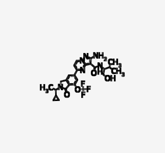 CC(C)C(CO)NC(=O)c1c(N)nn2ccc(-c3cc4c(c(OC(F)(F)F)c3)C(=O)N(C(C)C3CC3)C4)nc12